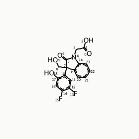 O=C(O)CN1C(=O)C(CO)(c2cc(F)c(F)cc2O)c2ccccc21